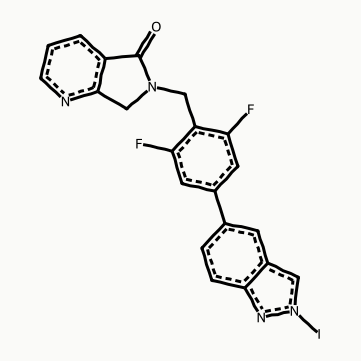 O=C1c2cccnc2CN1Cc1c(F)cc(-c2ccc3nn(I)cc3c2)cc1F